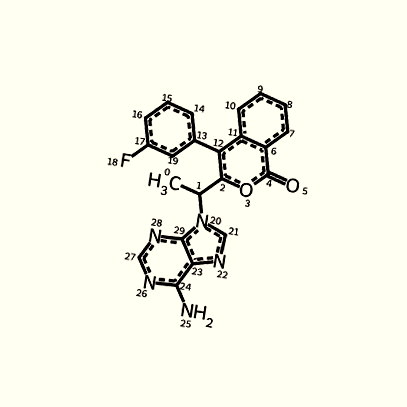 CC(c1oc(=O)c2ccccc2c1-c1cccc(F)c1)n1cnc2c(N)ncnc21